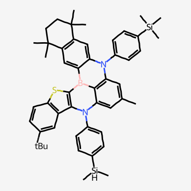 Cc1cc2c3c(c1)N(c1ccc([SiH](C)C)cc1)c1c(sc4ccc(C(C)(C)C)cc14)B3c1cc3c(cc1N2c1ccc([Si](C)(C)C)cc1)C(C)(C)CCC3(C)C